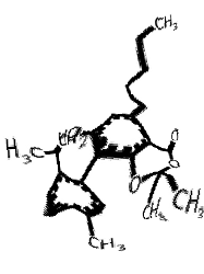 C=C(C)c1ccc(C)cc1-c1c(O)cc(CCCCC)c2c1OC(C)(C)OC2=O